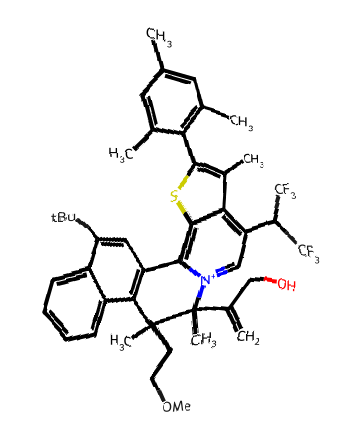 C=C(CO)C1(C)[n+]2cc(C(C(F)(F)F)C(F)(F)F)c3c(C)c(-c4c(C)cc(C)cc4C)sc3c2-c2cc(C(C)(C)C)c3ccccc3c2C1(C)CCOC